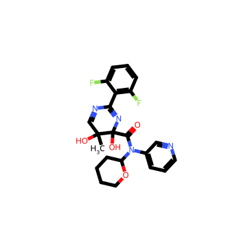 CC1(O)C=NC(c2c(F)cccc2F)=NC1(O)C(=O)N(c1cccnc1)C1CCCCO1